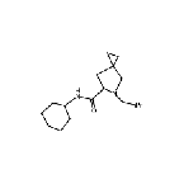 CC(C)CN1CC2(CC2)CC1C(=O)NC1CCCCC1